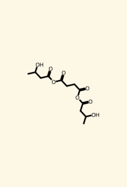 CC(O)CC(=O)OC(=O)CCC(=O)OC(=O)CC(C)O